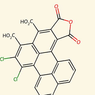 O=C(O)c1c(Cl)c(Cl)c2c3cccc4cccc(c43)c3c4c(=O)oc(=O)c4c(C(=O)O)c1c23